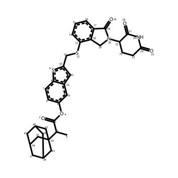 CC(C(=O)Oc1ccc2sc(CSc3cccc4c3CN(C3CCC(=O)NC3=O)C4=O)cc2c1)C12CC3CC(CC(C3)C1)C2